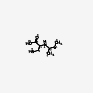 CSC(C)NC(CS)C(=O)O